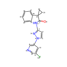 O=C(Nc1ccn(-c2cncc(F)c2)n1)C1(c2ccccc2)CC1